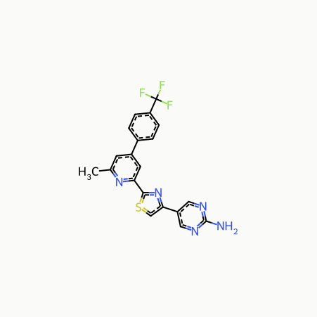 Cc1cc(-c2ccc(C(F)(F)F)cc2)cc(-c2nc(-c3cnc(N)nc3)cs2)n1